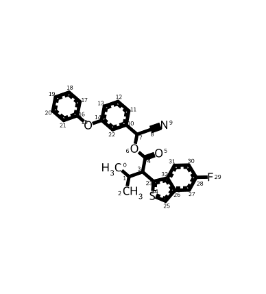 CC(C)C(C(=O)OC(C#N)c1cccc(Oc2ccccc2)c1)c1scc2cc(F)ccc12